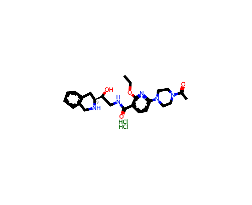 CCOc1nc(N2CCN(C(C)=O)CC2)ccc1C(=O)NCC(O)[C@@H]1Cc2ccccc2CN1.Cl.Cl